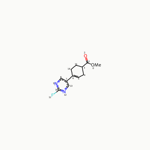 COC(=O)C1CC=C(c2cnc(F)nc2)CC1